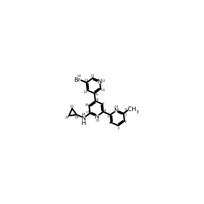 Cc1cccc(-c2cc(-c3cncc(Br)c3)cc(NC3CC3)n2)n1